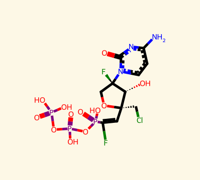 Nc1ccn([C@@]2(F)CO[C@@](/C=C(/F)P(=O)(O)OP(=O)(O)OP(=O)(O)O)(CCl)[C@H]2O)c(=O)n1